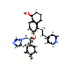 O=C1CCCc2c1ccc(O[C@H](Cn1ccnc1)c1ccc(F)cc1)c2CCc1ccncc1